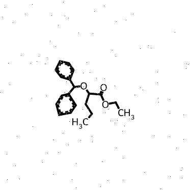 CCCC(OC(c1ccccc1)c1ccccc1)C(=O)OCC